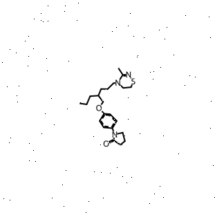 CCCC(CCCN1CCSN=C1C)COc1ccc(N2CCCC2=O)cc1